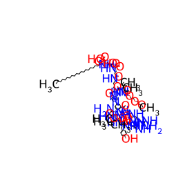 CCCCCCCCCCCCCCCCCCCC(=O)N[C@@H](CCC(=O)N[C@@H](CCC(=O)NCCCC[C@H](NC(=O)[C@@H](NC(=O)COCCOCCOC)[C@@H](C)CC)C(=O)N1CCN(c2ccc3ncn(CC(=O)N[C@@H](CCCNC(=N)N)C(=O)NC(Cc4c[nH]cn4)C(=O)N[C@@H](Cc4ccc(O)cc4)C(=O)NC(CC(C)C)C(=O)N[C@@H](CC(N)=O)C(=O)NC)c(=O)c3c2)CC1)C(=O)O)C(=O)O